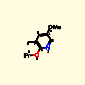 COc1cnc(OC(C)C)c(C)c1